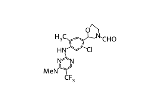 CNc1nc(Nc2cc(Cl)c(C3CN(C=O)CCO3)cc2C)ncc1C(F)(F)F